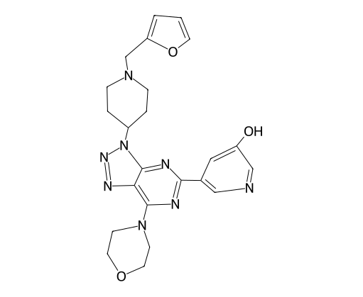 Oc1cncc(-c2nc(N3CCOCC3)c3nnn(C4CCN(Cc5ccco5)CC4)c3n2)c1